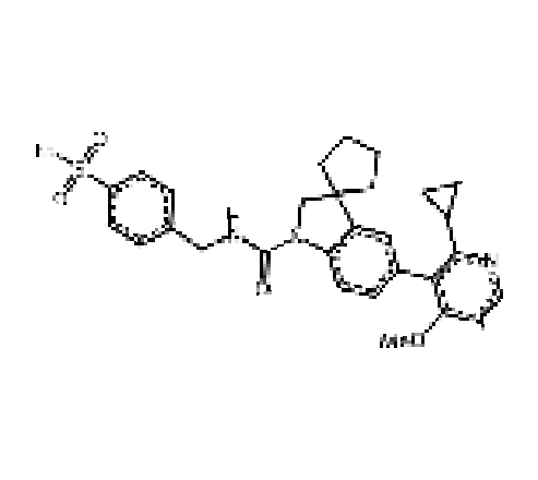 CCS(=O)(=O)c1ccc(CNC(=O)N2CC3(CCCC3)c3cc(-c4c(OC)ncnc4C4CC4)ccc32)cc1